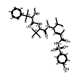 CNC(C(=O)NC(C(=O)N(C)C(C=C(C)C(=O)NS(=O)(=O)c1ccc(O)cc1)C(C)C)C(C)(C)C)C(C)(C)c1ccccc1